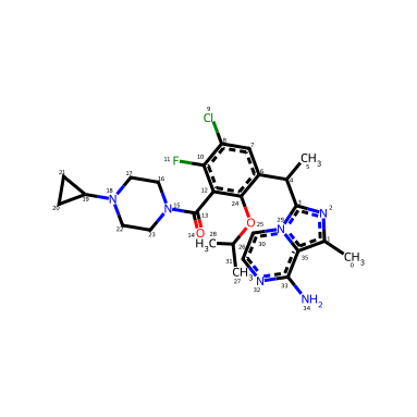 Cc1nc(C(C)c2cc(Cl)c(F)c(C(=O)N3CCN(C4CC4)CC3)c2OC(C)C)n2ccnc(N)c12